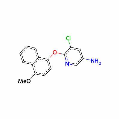 COc1ccc(Oc2ncc(N)cc2Cl)c2ccccc12